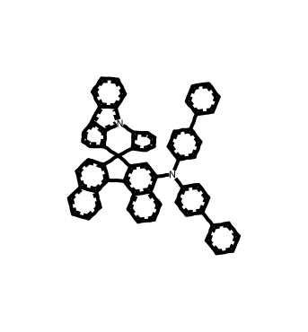 c1ccc(-c2ccc(N(c3ccc(-c4ccccc4)cc3)c3cc4c(c5ccccc35)-c3c(ccc5ccccc35)C43c4ccccc4-n4c5ccccc5c5cccc3c54)cc2)cc1